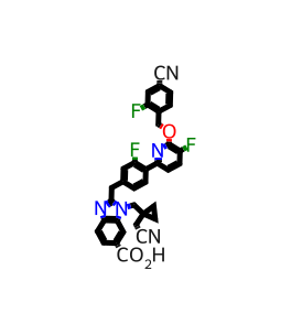 N#CCC1(Cn2c(Cc3ccc(-c4ccc(F)c(OCc5ccc(C#N)cc5F)n4)c(F)c3)nc3ccc(C(=O)O)cc32)CC1